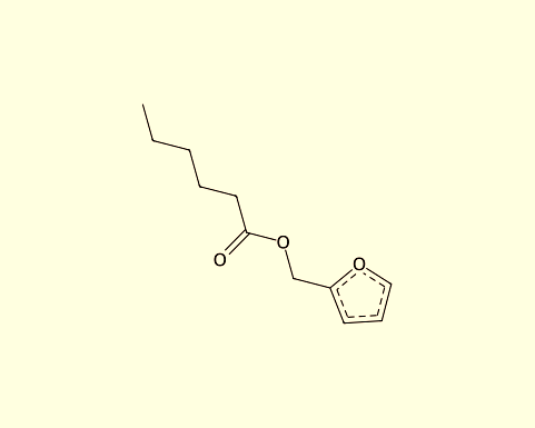 CCCCCC(=O)OCc1ccco1